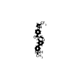 Cc1nc2ccc(-c3ccc4c(c3)CN(C(=O)c3ccc(-n5ccc(C(F)(F)F)n5)cc3)CCO4)cc2[nH]1